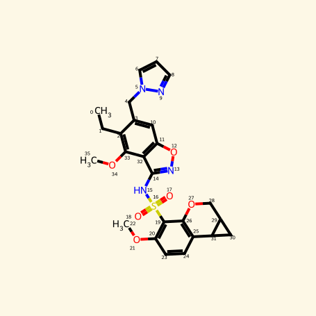 CCc1c(Cn2cccn2)cc2onc(NS(=O)(=O)c3c(OC)ccc4c3OCC3CC43)c2c1OC